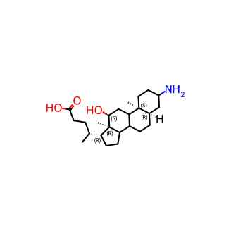 CC(CCC(=O)O)[C@H]1CCC2C3CC[C@@H]4CC(N)CC[C@]4(C)C3C[C@H](O)[C@@]21C